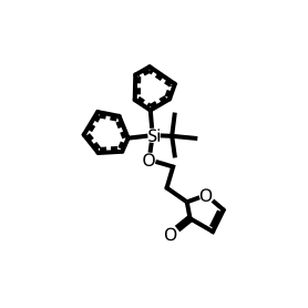 CC(C)(C)[Si](OCCC1OC=CC1=O)(c1ccccc1)c1ccccc1